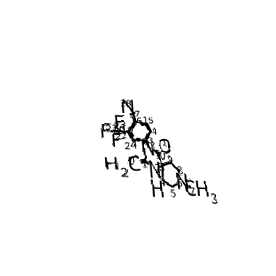 C=C1NC2(CCN(C)CC2)C(=O)N1c1ccc(C#N)c(C(F)(F)F)c1